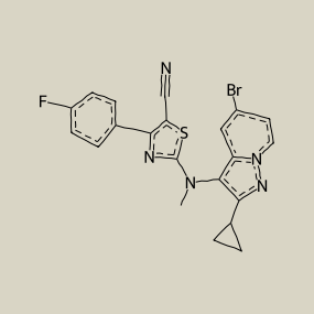 CN(c1nc(-c2ccc(F)cc2)c(C#N)s1)c1c(C2CC2)nn2ccc(Br)cc12